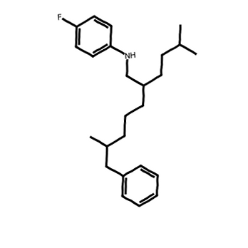 CC(C)CCC(CCCC(C)Cc1ccccc1)CNc1ccc(F)cc1